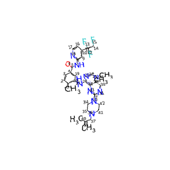 Cc1ccc(C(=O)Nc2cc(C(F)(F)CF)ccn2)cc1NC(/N=C\N(C)C)=C1/CC=NC(N2CCN(CC(C)C)CC2)=N1